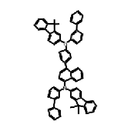 CC1(C)c2ccccc2-c2ccc(N(c3ccc(-c4ccc(N(c5cccc(-c6ccccc6)c5)c5ccc6c(c5)C(C)(C)c5ccccc5-6)c5ccccc45)cc3)c3cccc(-c4ccccc4)c3)cc21